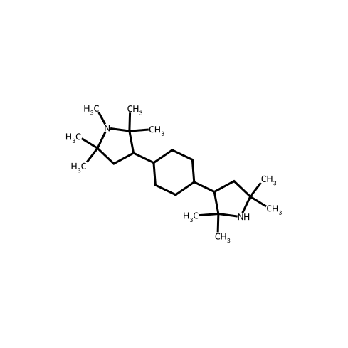 CN1C(C)(C)CC(C2CCC(C3CC(C)(C)NC3(C)C)CC2)C1(C)C